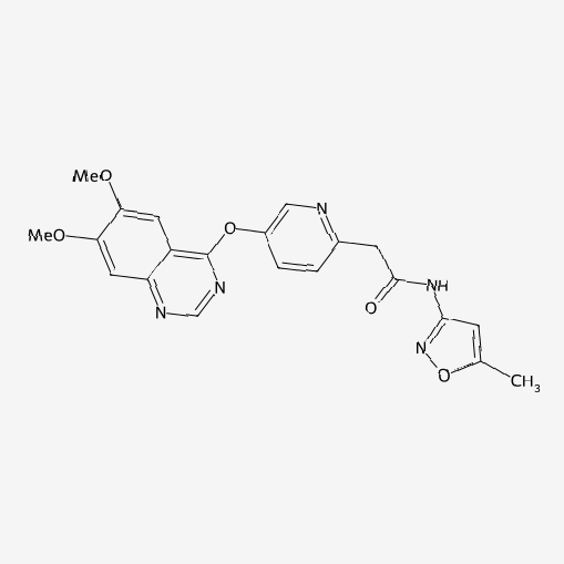 COc1cc2ncnc(Oc3ccc(CC(=O)Nc4cc(C)on4)nc3)c2cc1OC